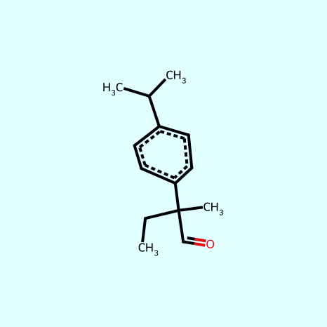 CCC(C)(C=O)c1ccc(C(C)C)cc1